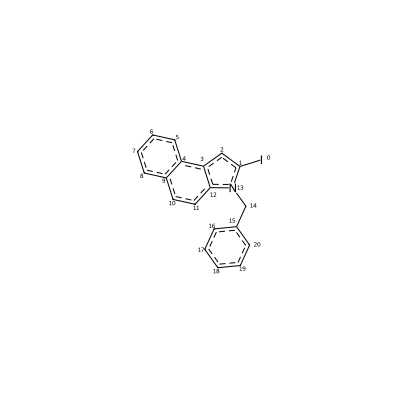 Ic1cc2c3ccccc3ccc2n1Cc1ccccc1